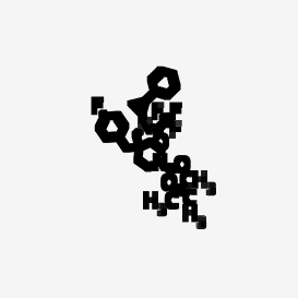 CC(C)(C)OC(=O)N1CCC(Cc2ccc(F)cc2)(CN(C(=O)C(F)(F)F)C2CC2c2ccccc2)CC1